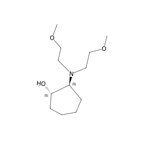 COCCN(CCOC)[C@H]1CCCC[C@@H]1O